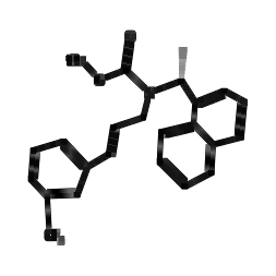 C[C@H](c1cccc2ccccc12)N(C/C=C/c1cccc(C(F)(F)F)c1)C(=O)OC(C)(C)C